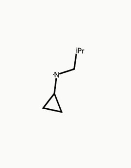 CC(C)C[N]C1CC1